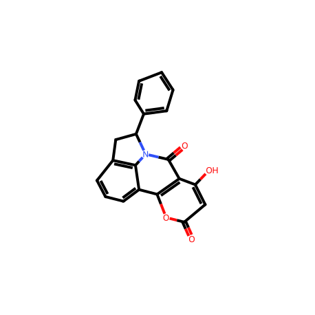 O=c1cc(O)c2c(=O)n3c4c(cccc4c2o1)CC3c1ccccc1